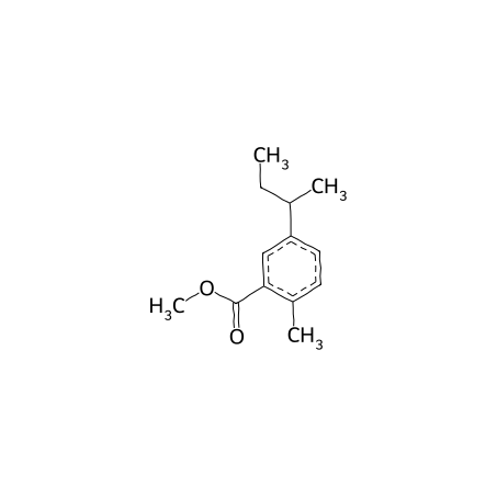 CCC(C)c1ccc(C)c(C(=O)OC)c1